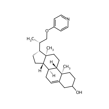 C[C@H](COc1ccncc1)[C@H]1CC[C@H]2[C@@H]3CC=C4CC(O)CC[C@]4(C)[C@H]3CC[C@]12C